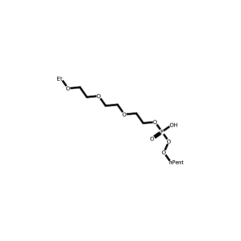 CCCCCOOP(=O)(O)OCCOCCOCCOCC